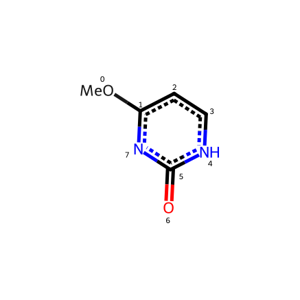 COc1cc[nH]c(=O)n1